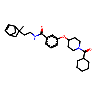 CC1(CCNC(=O)c2cccc(OC3CCN(C(=O)C4CCCCC4)CC3)c2)CC2C=CC1C2